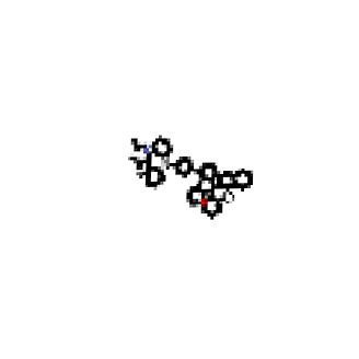 C=C/C=C\c1c(C)sc2cccc(N(c3ccccc3)c3ccc(-c4cccc5c4-c4ccccc4C54c5ccccc5Oc5c4ccc4ccccc54)cc3)c12